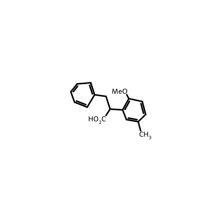 COc1ccc(C)cc1C(Cc1ccccc1)C(=O)O